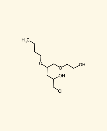 CCCCOC(COCCO)CC(O)CO